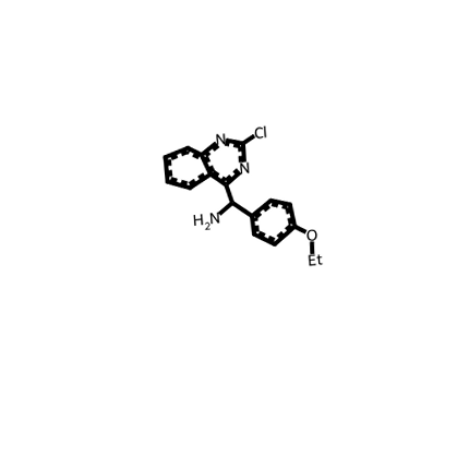 CCOc1ccc(C(N)c2nc(Cl)nc3ccccc23)cc1